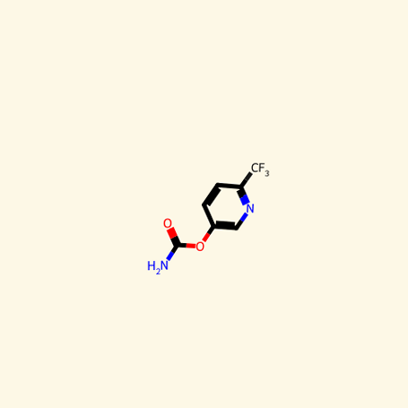 NC(=O)Oc1ccc(C(F)(F)F)nc1